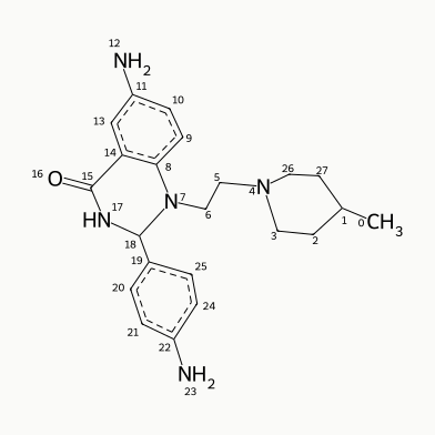 CC1CCN(CCN2c3ccc(N)cc3C(=O)NC2c2ccc(N)cc2)CC1